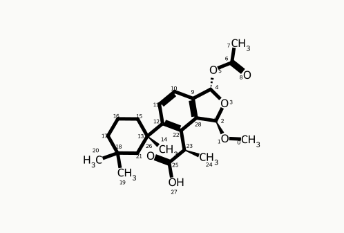 CO[C@@H]1O[C@@H](OC(C)=O)c2ccc([C@@]3(C)CCCC(C)(C)C3)c([C@@H](C)C(=O)O)c21